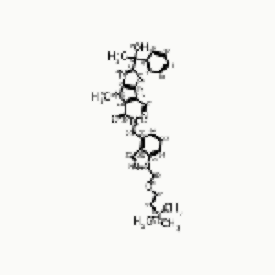 Cn1c2nc(C(C)(O)c3ccccc3)sc2c2cnn(Cc3cccc4c3cnn4COCC[Si](C)(C)C)c(=O)c21